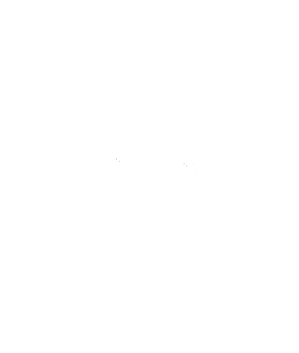 NC(=O)C1COCc2c(Br)cncc21